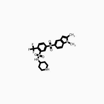 Cc1cc2cc(S(=O)(=O)c3ccc(C(F)(F)F)c(S(=O)(=O)NC4CCNCC4)c3)ccc2n1C